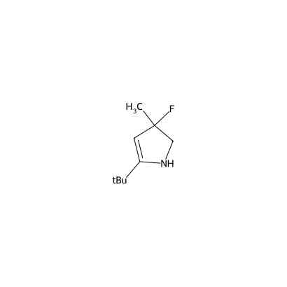 CC1(F)C=C(C(C)(C)C)NC1